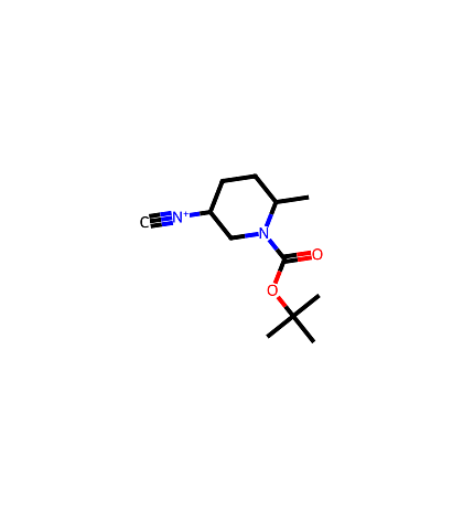 [C-]#[N+]C1CCC(C)N(C(=O)OC(C)(C)C)C1